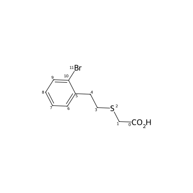 O=C(O)CSCCc1ccccc1Br